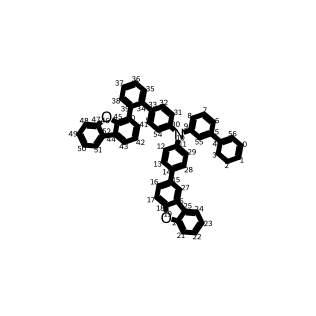 C1=CCCC(c2cccc(N(c3ccc(-c4ccc5oc6ccccc6c5c4)cc3)c3ccc(-c4ccccc4-c4cccc5c4oc4ccccc45)cc3)c2)=C1